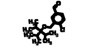 CC(C)[Si](OCc1cc(C=O)ccc1Cl)(C(C)C)C(C)C